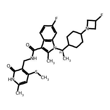 CSc1cc(C)[nH]c(=O)c1CNC(=O)c1c(C)n([C@H](C)C2CCC(N3CC(F)C3)CC2)c2cc(F)ccc12